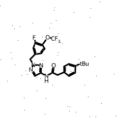 CC(C)(C)c1ccc(CC(=O)Nc2cnn(Cc3ccc(OC(F)(F)F)c(F)c3)n2)cc1